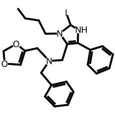 CCCCN1C(CN(CC2=COCO2)Cc2ccccc2)=C(c2ccccc2)NC1I